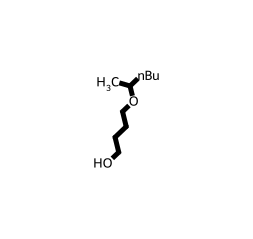 CCCCC(C)OCCCCO